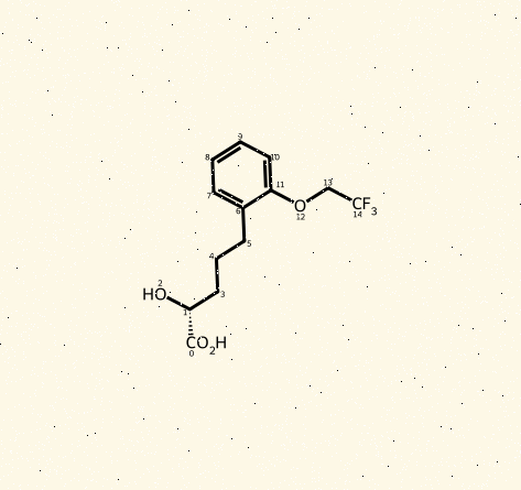 O=C(O)[C@H](O)CCCc1ccccc1OCC(F)(F)F